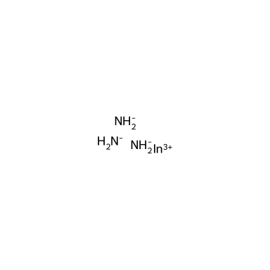 [In+3].[NH2-].[NH2-].[NH2-]